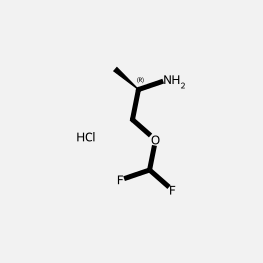 C[C@@H](N)COC(F)F.Cl